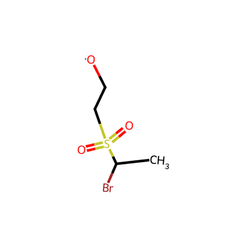 CC(Br)S(=O)(=O)CC[O]